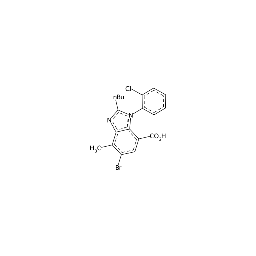 CCCCc1nc2c(C)c(Br)cc(C(=O)O)c2n1-c1ccccc1Cl